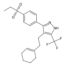 CCS(=O)(=O)c1ccc(-c2n[nH]c(C(F)(F)F)c2CCC2=CCCCC2)cc1